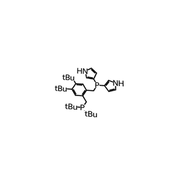 CC(C)(C)c1cc(CP(c2cc[nH]c2)c2cc[nH]c2)c(CP(C(C)(C)C)C(C)(C)C)cc1C(C)(C)C